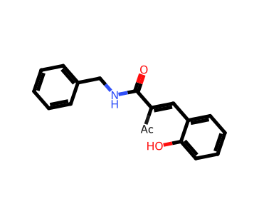 CC(=O)C(=Cc1ccccc1O)C(=O)NCc1ccccc1